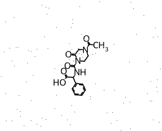 CC(=O)N1CCN(C(=O)NC(C(=O)O)c2ccccc2)C(=O)C1